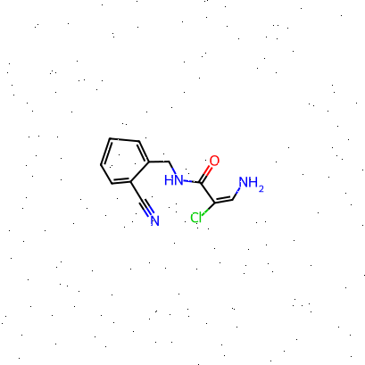 N#Cc1ccccc1CNC(=O)/C(Cl)=C\N